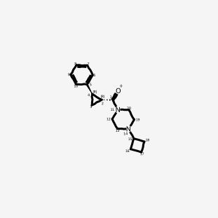 O=C([C@@H]1C[C@H]1c1ccccc1)N1CCN(C2CCC2)CC1